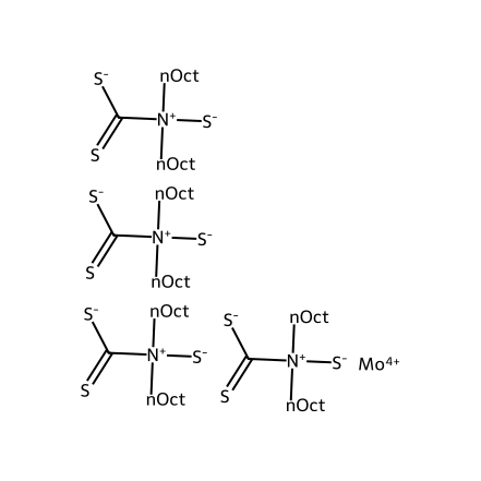 CCCCCCCC[N+]([S-])(CCCCCCCC)C(=S)[S-].CCCCCCCC[N+]([S-])(CCCCCCCC)C(=S)[S-].CCCCCCCC[N+]([S-])(CCCCCCCC)C(=S)[S-].CCCCCCCC[N+]([S-])(CCCCCCCC)C(=S)[S-].[Mo+4]